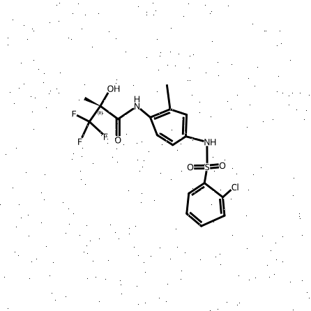 Cc1cc(NS(=O)(=O)c2ccccc2Cl)ccc1NC(=O)[C@@](C)(O)C(F)(F)F